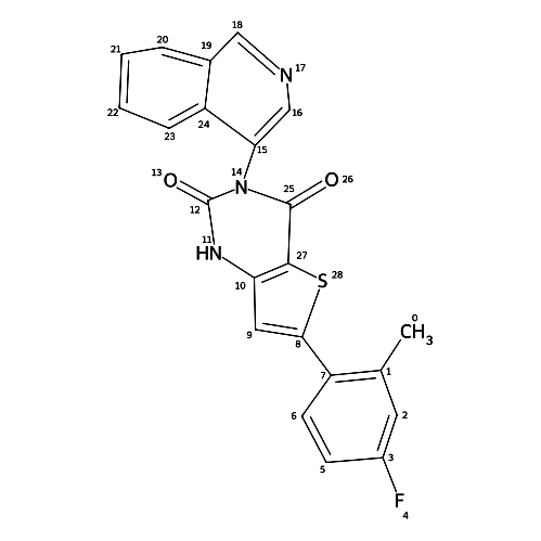 Cc1cc(F)ccc1-c1cc2[nH]c(=O)n(-c3cncc4ccccc34)c(=O)c2s1